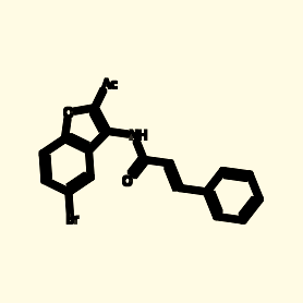 CC(=O)c1oc2ccc(Br)cc2c1NC(=O)C=Cc1ccccc1